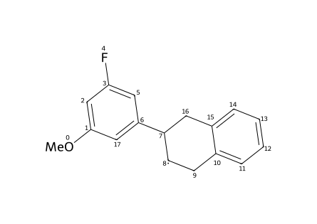 COc1cc(F)cc(C2[CH]Cc3ccccc3C2)c1